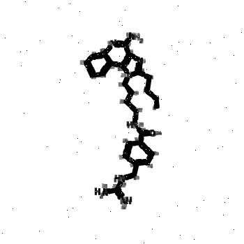 CCCCc1nc2c(N)nc3ccccc3c2n1CCCCNC(=O)c1ccc(CNC(=N)N)cc1